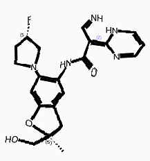 C[C@@]1(CO)Cc2cc(NC(=O)/C(C=N)=C3\N=CC=CN3)c(N3CC[C@H](F)C3)cc2O1